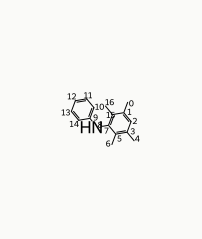 Cc1cc(C)c(C)c(Nc2ccccc2)c1C